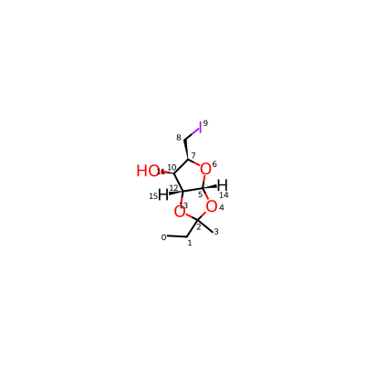 CCC1(C)O[C@H]2O[C@H](CI)[C@H](O)[C@H]2O1